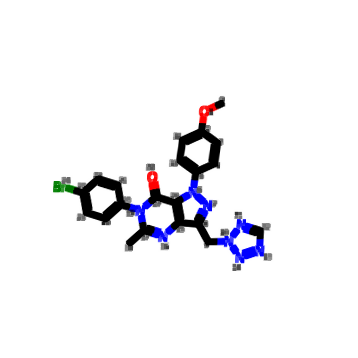 COc1ccc(-n2nc(Cn3ncnn3)c3nc(C)n(-c4ccc(Br)cc4)c(=O)c32)cc1